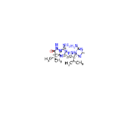 CC(C)C1=C2N=CN=C(N)N2NC1Cc1nc(N)n2[nH]c(=O)c(C(C)C)c2n1